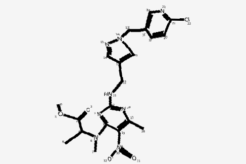 COC(=O)C(C)N(C)c1nc(NCc2cnn(Cc3ccc(Cl)nc3)c2)nc(C)c1[N+](=O)[O-]